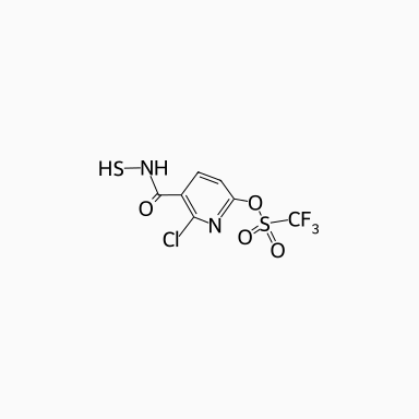 O=C(NS)c1ccc(OS(=O)(=O)C(F)(F)F)nc1Cl